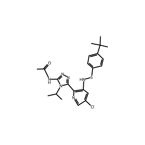 CC(=O)Nc1nnc(-c2ncc(Cl)cc2NSc2ccc(C(C)(C)C)cc2)n1C(C)C